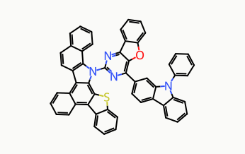 c1ccc(-n2c3ccccc3c3ccc(-c4nc(-n5c6c7ccccc7ccc6c6c7ccccc7c7c8ccccc8sc7c65)nc5c4oc4ccccc45)cc32)cc1